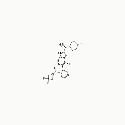 CC1CCC([C@H](N)c2nc3c(F)c(-c4cnccc4C(=O)N4CC(F)(F)C4)ccc3[nH]2)CC1